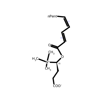 CCCCC/C=C\C=C\C(=O)O[C@@H](CCC(=O)[O-])[N+](C)(C)C